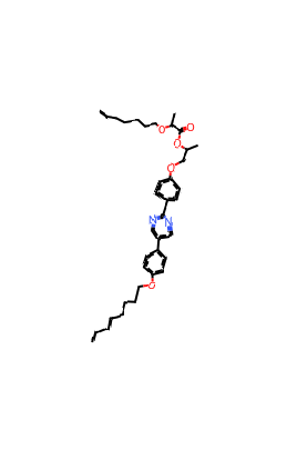 CCCCCCCCOc1ccc(-c2cnc(-c3ccc(OCC(C)OC(=O)C(C)OCCCCCCC)cc3)nc2)cc1